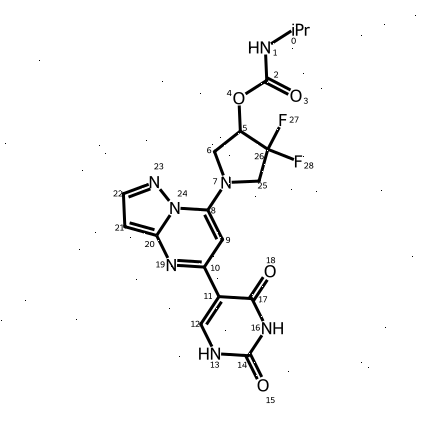 CC(C)NC(=O)OC1CN(c2cc(-c3c[nH]c(=O)[nH]c3=O)nc3ccnn23)CC1(F)F